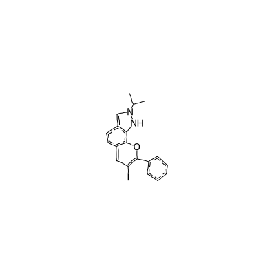 CC(C)N1C=c2ccc3c(c2N1)OC(c1ccccc1)=C(I)C=3